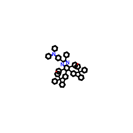 c1ccc(-c2nc3c(-c4ccccc4)c(-c4ccc5c(c4)C(c4ccccc4)(c4ccccc4)c4ccccc4-5)c(-c4ccc5c(c4)C(c4ccccc4)(c4ccccc4)c4ccccc4-5)c(-c4ccccc4)c3nc2-c2ccc(N(c3ccccc3)c3ccccc3)cc2)cc1